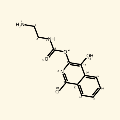 NCCNC(=O)Oc1nc(Cl)c2ccccc2c1O